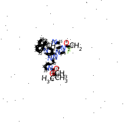 C=C(F)C(=O)N1CCN(c2nc(C[C@@H]3CCCN3C(=O)OC(C)(C)C)nc3c2CCN(c2cccc4cccc(C)c24)C3)C[C@@H]1CC#N